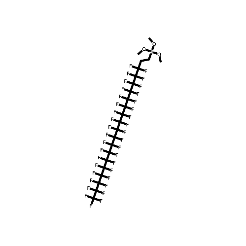 CO[Si](CCC(F)(F)C(F)(F)C(F)(F)C(F)(F)C(F)(F)C(F)(F)C(F)(F)C(F)(F)C(F)(F)C(F)(F)C(F)(F)C(F)(F)C(F)(F)C(F)(F)C(F)(F)C(F)(F)C(F)(F)C(F)(F)F)(OC)OC